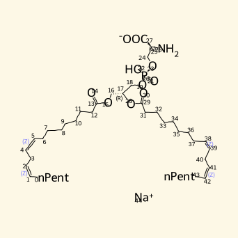 CCCCC/C=C\C/C=C\CCCCCCCC(=O)OC[C@H](COP(=O)(O)OC[C@H](N)C(=O)[O-])OC(=O)CCCCCCC/C=C\C/C=C\CCCCC.[Na+]